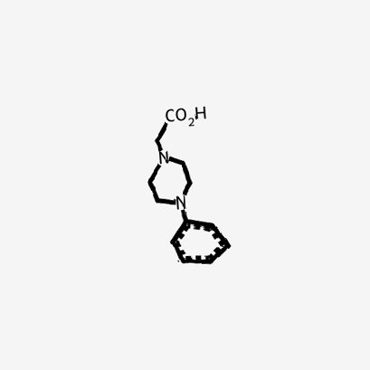 O=C(O)CN1CCN(c2c[c]ccc2)CC1